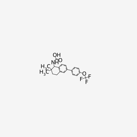 CC1(C)CCc2cc(-c3ccc(OC(F)(F)F)cc3)ccc2C1NC(=O)O